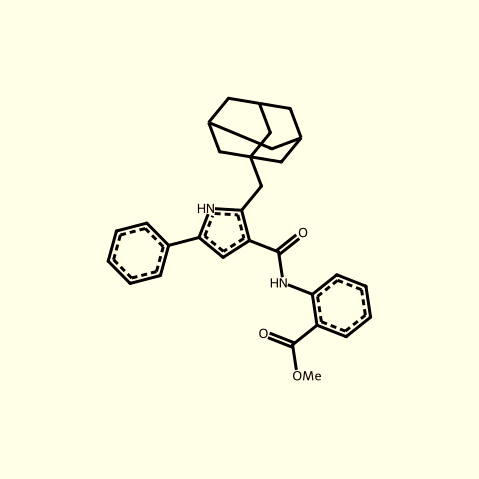 COC(=O)c1ccccc1NC(=O)c1cc(-c2ccccc2)[nH]c1CC12CC3CC(CC(C3)C1)C2